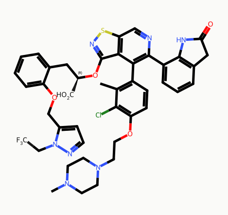 Cc1c(-c2c(-c3cccc4c3NC(=O)C4)ncc3snc(O[C@H](Cc4ccccc4OCc4ccnn4CC(F)(F)F)C(=O)O)c23)ccc(OCCN2CCN(C)CC2)c1Cl